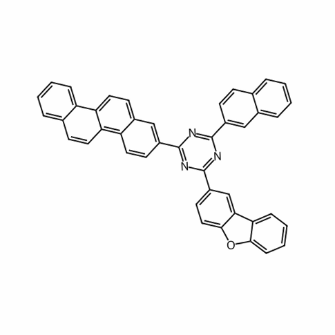 c1ccc2cc(-c3nc(-c4ccc5c(ccc6c7ccccc7ccc56)c4)nc(-c4ccc5oc6ccccc6c5c4)n3)ccc2c1